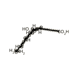 N[C@@H](CCCCNC(=O)COCCOCCNC(=O)COCCOCCNC(=O)CC[C@H](NC(=O)[C@H]1CC[C@H](CNC(=O)CCCCCCCCCCCCCCCCCCC(=O)O)CC1)C(=O)O)C(=O)P